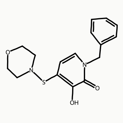 O=c1c(O)c(SN2CCOCC2)ccn1Cc1ccccc1